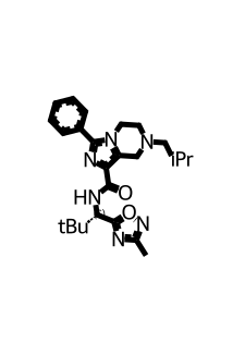 Cc1noc([C@@H](NC(=O)c2nc(-c3ccccc3)n3c2CN(CC(C)C)CC3)C(C)(C)C)n1